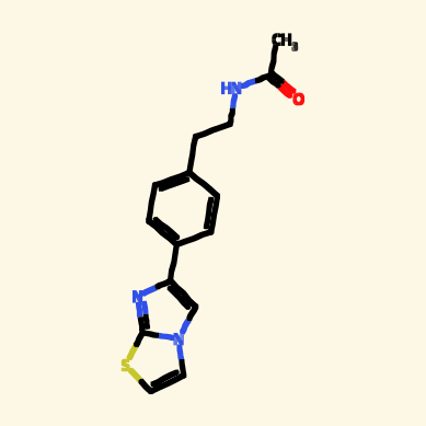 CC(=O)NCCc1ccc(-c2cn3ccsc3n2)cc1